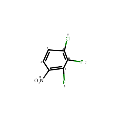 O=[N+]([O-])c1ccc(Cl)c(F)c1F